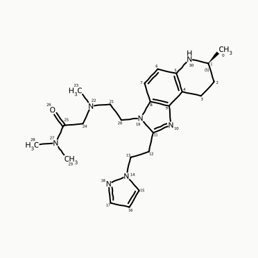 C[C@H]1CCc2c(ccc3c2nc(CCn2cccn2)n3CCN(C)CC(=O)N(C)C)N1